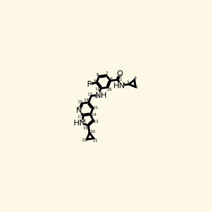 O=C(NC1CC1)c1ccc(F)c(NCc2cnc3[nH]c(C4CC4)cc3c2)c1